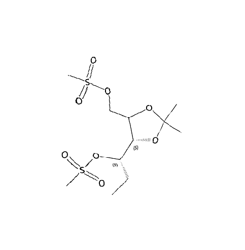 CC[C@H](OS(C)(=O)=O)[C@H]1OC(C)(C)OC1COS(C)(=O)=O